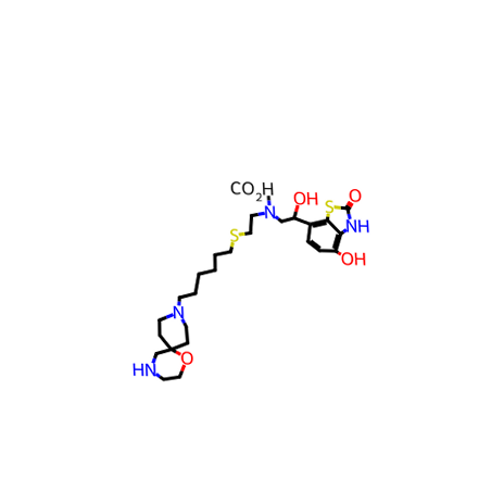 O=C(O)N(CCSCCCCCCN1CCC2(CC1)CNCCO2)CC(O)c1ccc(O)c2[nH]c(=O)sc12